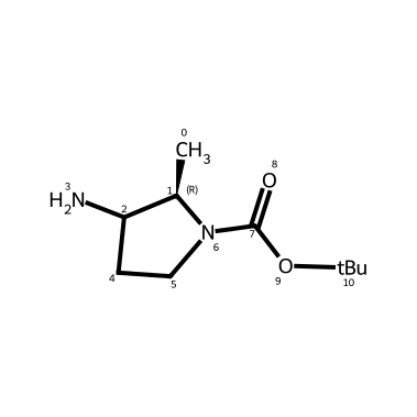 C[C@@H]1C(N)CCN1C(=O)OC(C)(C)C